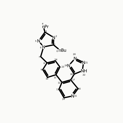 CCCCc1nc(CCC)nn1Cc1ccc(-c2ccncc2-c2nnn[nH]2)cc1